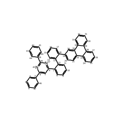 c1ccc(-c2cc(-c3ccccc3-c3ccccc3-c3ccc4c5ccccc5c5ccccc5c4c3)nc(-c3ccccc3)n2)cc1